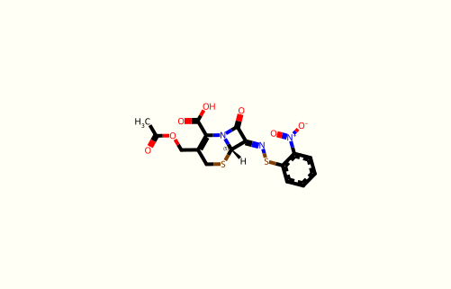 CC(=O)OCC1=C(C(=O)O)N2C(=O)C(=NSc3ccccc3[N+](=O)[O-])[C@@H]2SC1